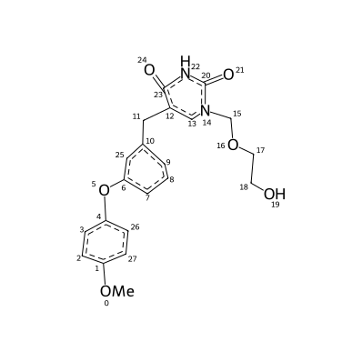 COc1ccc(Oc2cccc(Cc3cn(COCCO)c(=O)[nH]c3=O)c2)cc1